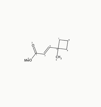 COC(=O)/C=C/C1(C)CCC1